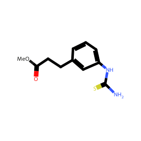 COC(=O)CCc1cccc(NC(N)=S)c1